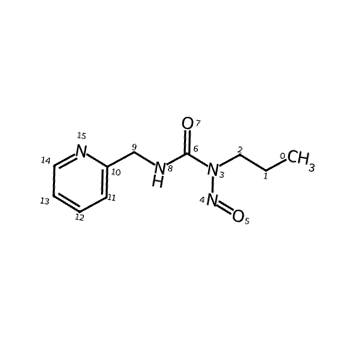 CCCN(N=O)C(=O)NCc1ccccn1